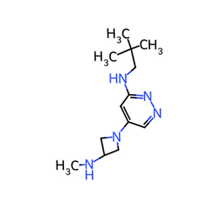 CNC1CN(c2cnnc(NCC(C)(C)C)c2)C1